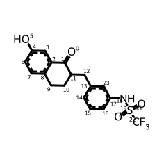 O=C1c2cc(O)ccc2CCC1Cc1cccc(NS(=O)(=O)C(F)(F)F)c1